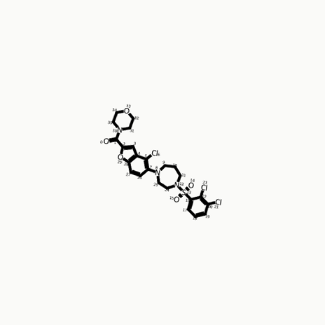 O=C(c1cc2c(Cl)c(N3CCCN(S(=O)(=O)c4cccc(Cl)c4Cl)CC3)ccc2o1)N1CCOCC1